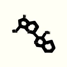 CC(C)(C)c1c(-c2ccc3[nH]cc(C(C)(C)C)c3n2)ncc2ccccc12